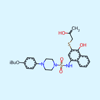 C=C(O)CSc1cc(NS(=O)(=O)N2CCN(c3ccc(OCC(C)C)cc3)CC2)c2ccccc2c1O